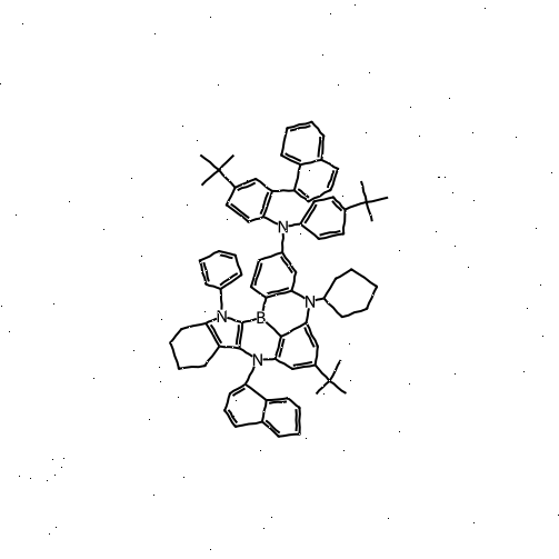 CC(C)(C)c1ccc(N(c2ccc3c(c2)N(C2CCCCC2)c2cc(C(C)(C)C)cc4c2B3c2c(c3c(n2-c2ccccc2)CCCC3)N4c2cccc3ccccc23)c2ccc(C(C)(C)C)cc2-c2cccc3ccccc23)cc1